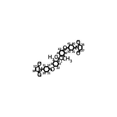 CCC(C)(c1ccc(Oc2ccc(N3C(=O)C=CC3=O)cc2)cc1)c1ccc(Oc2ccc(N3C(=O)C=CC3=O)cc2)cc1